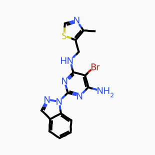 Cc1ncsc1CNc1nc(-n2ncc3ccccc32)nc(N)c1Br